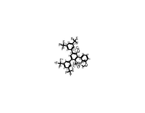 COc1c(-c2cc(C(F)(F)F)cc(C(F)(F)F)c2)cc(-c2cc(C(F)(F)F)cc(C(F)(F)F)c2)c(OC)c1-c1cccc2c1[P@@](C)(=O)CO2